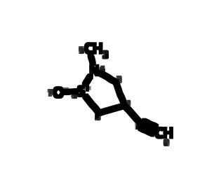 C#CC1CN(C)[S+]([O-])C1